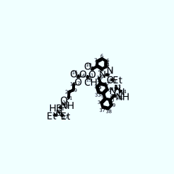 CCOc1nc2cccc(C(=O)OC(C)OC(=O)OCCCCONBN(CC)CC)c2n1Cc1ccc(-c2ccccc2-c2nnn[nH]2)cc1